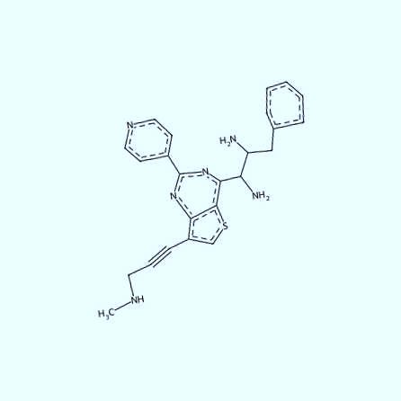 CNCC#Cc1csc2c(C(N)C(N)Cc3ccccc3)nc(-c3ccncc3)nc12